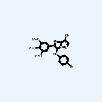 COc1cc(-c2[nH]c3c(C#N)cnn3c2Nc2ccc(Br)cc2)cc(OC)c1OC